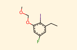 CCc1cc(F)cc(OCOC)c1I